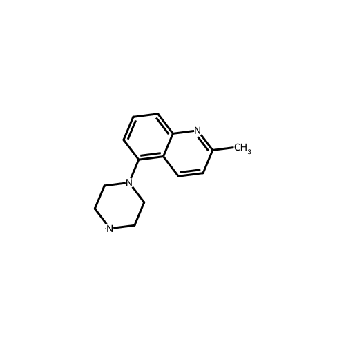 Cc1ccc2c(N3CC[N]CC3)cccc2n1